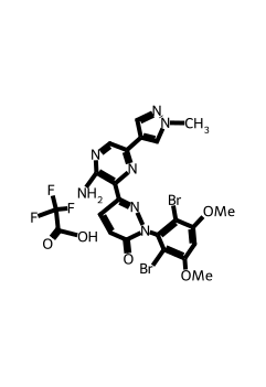 COc1cc(OC)c(Br)c(-n2nc(-c3nc(-c4cnn(C)c4)cnc3N)ccc2=O)c1Br.O=C(O)C(F)(F)F